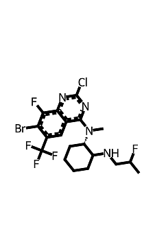 CC(F)CNC1CCCC[C@@H]1N(C)c1nc(Cl)nc2c(F)c(Br)c(C(F)(F)F)cc12